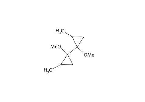 COC1(C2(OC)CC2C)CC1C